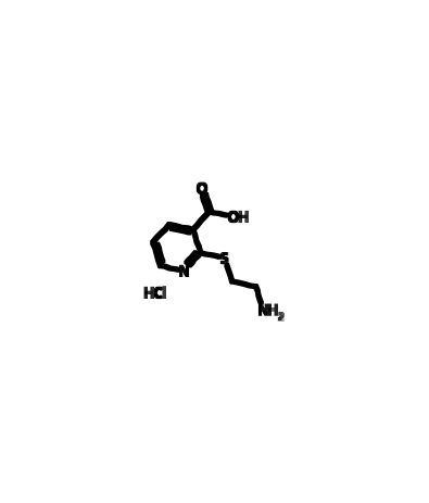 Cl.NCCSc1ncccc1C(=O)O